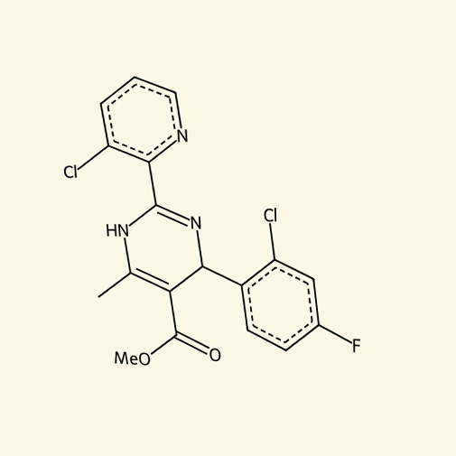 COC(=O)C1=C(C)NC(c2ncccc2Cl)=NC1c1ccc(F)cc1Cl